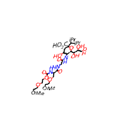 COCCOCCOC(=O)NC(COCCOC)C(=O)NCC(=O)NC1C(O)CC(C(=O)O)(C(C(C)C)C(C)C)OC1C(O)C(O)CO